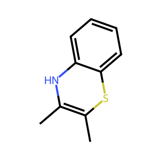 CC1=C(C)Sc2ccccc2N1